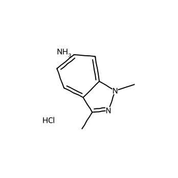 Cc1nn(C)c2ccccc12.Cl.N